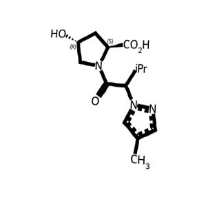 Cc1cnn(C(C(=O)N2C[C@H](O)C[C@H]2C(=O)O)C(C)C)c1